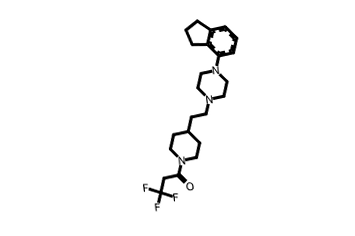 O=C(CC(F)(F)F)N1CCC(CCN2CCN(c3cccc4c3CCC4)CC2)CC1